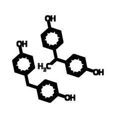 CC(c1ccc(O)cc1)c1ccc(O)cc1.Oc1ccc(Cc2ccc(O)cc2)cc1